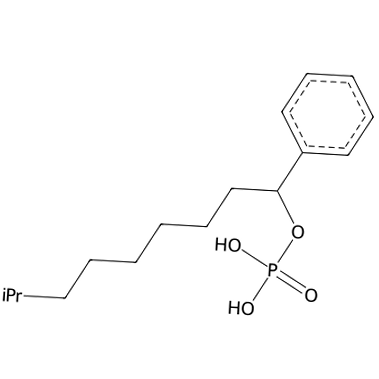 CC(C)CCCCCCC(OP(=O)(O)O)c1ccccc1